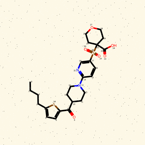 CCCCc1ccc(C(=O)C2CCN(c3ccc(S(=O)(=O)C4(C(=O)O)CCOCC4)cn3)CC2)s1